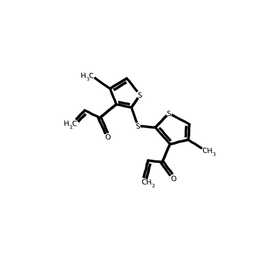 C=CC(=O)c1c(C)csc1Sc1scc(C)c1C(=O)C=C